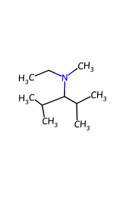 CCN(C)C(C(C)C)C(C)C